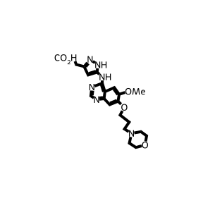 COc1cc2c(Nc3cc(CC(=O)O)n[nH]3)ncnc2cc1OCCCN1CCOCC1